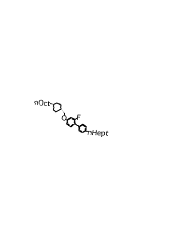 CCCCCCCC[C@H]1CC[C@H](COc2ccc(-c3ccc(CCCCCCC)cc3)c(F)c2)CC1